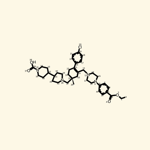 CCOC(=O)c1ccc(N2CCN(CC3=C(c4ccc(Cl)cc4)CC[C@@](C)(CN4CCC(C5CCN(C(=O)O)CC5)CC4)C3)CC2)cc1